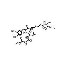 CCOC(=O)C1OC1C(=O)N[C@@H](CC(C)C)C(=O)N[C@@H](Cc1ccc(O)c([125I])c1)C(=O)NCCCCCC(=O)N[C@@H](CC)C(N)=O